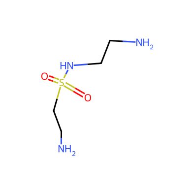 NCCNS(=O)(=O)CCN